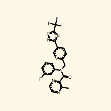 Cc1nccnc1C(=O)N(Cc1ccc(-c2noc(C(F)(F)F)n2)cn1)c1cccc(F)c1